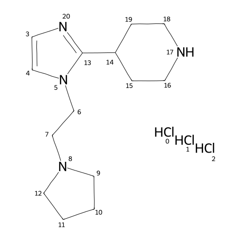 Cl.Cl.Cl.c1cn(CCN2CCCC2)c(C2CCNCC2)n1